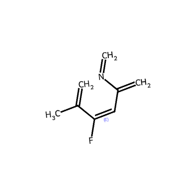 C=NC(=C)/C=C(/F)C(=C)C